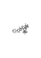 CC1c2cc(C3CCOCC3)ccc2CN1C(=O)c1cc(S(C)(=O)=O)ccc1O[C@@H](C)C(F)(F)F